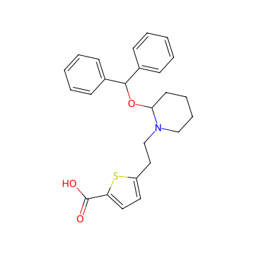 O=C(O)c1ccc(CCN2CCCCC2OC(c2ccccc2)c2ccccc2)s1